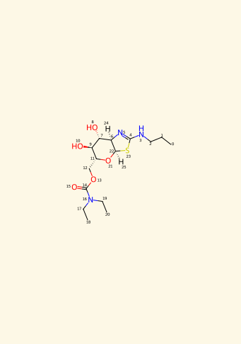 CCCNC1=N[C@@H]2[C@@H](O)[C@H](O)[C@@H](COC(=O)N(CC)CC)O[C@@H]2S1